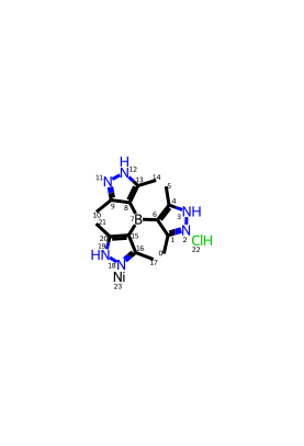 Cc1n[nH]c(C)c1B(c1c(C)n[nH]c1C)c1c(C)n[nH]c1C.Cl.[Ni]